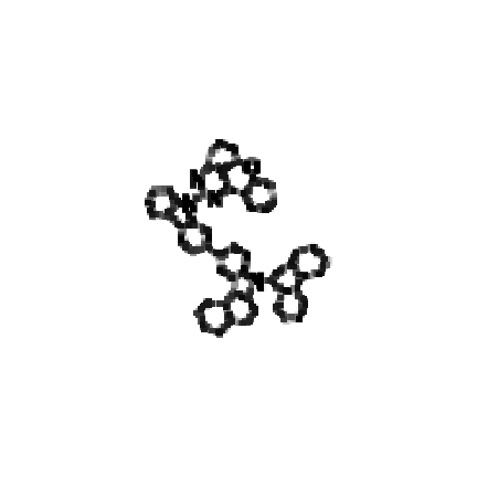 c1ccc2c(c1)Oc1cccc3nc(-n4c5ccccc5c5ccc(-c6ccc7c(c6)c6c8ccccc8ccc6n7-c6cc7ccccc7c7ccccc67)cc54)nc-2c13